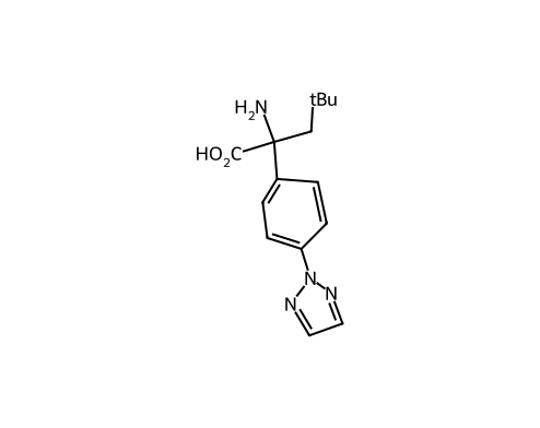 CC(C)(C)CC(N)(C(=O)O)c1ccc(-n2nccn2)cc1